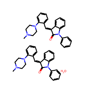 CN1CCN(c2ccccc2/C=C2/C(=O)N(c3ccccc3)c3ccccc32)CC1.CN1CCN(c2ccccc2/C=C2/C(=O)N(c3ccccc3)c3ccccc32)CC1.O